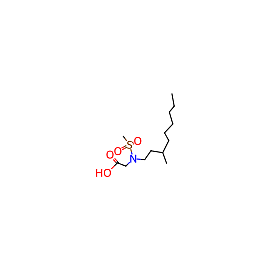 CCCCCCC(C)CCN(CC(=O)O)S(C)(=O)=O